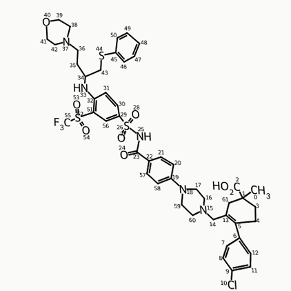 CC1(C(=O)O)CCC(c2ccc(Cl)cc2)=C(CN2CCN(c3ccc(C(=O)NS(=O)(=O)c4ccc(NC(CCN5CCOCC5)CSc5ccccc5)c(S(=O)(=O)C(F)(F)F)c4)cc3)CC2)C1